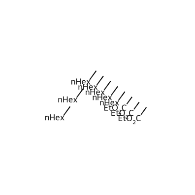 CCCCCCC.CCCCCCC.CCCCCCC.CCCCCCC.CCCCCCC.CCCCCCC.CCCCCCC.CCOC(C)=O.CCOC(C)=O.CCOC(C)=O